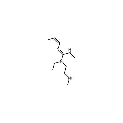 C/C=C\N=C(/NC)N(CC)CCNC